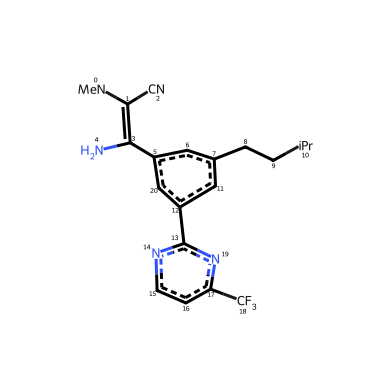 CN/C(C#N)=C(\N)c1cc(CCC(C)C)cc(-c2nccc(C(F)(F)F)n2)c1